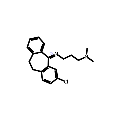 CN(C)CCC/N=C1/c2ccccc2CCc2ccc(Cl)cc21